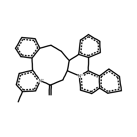 C=C1CC2C(CCc3ccccc3-c3ccc(C)c[n+]31)c1ccccc1-c1c3ccccc3cc[n+]12